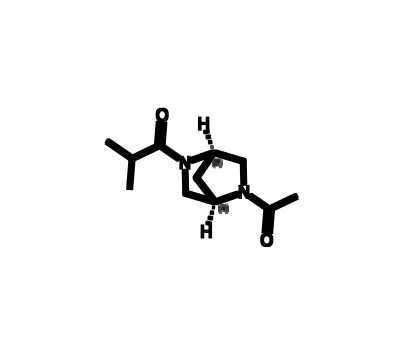 CC(=O)N1C[C@H]2C[C@@H]1CN2C(=O)C(C)C